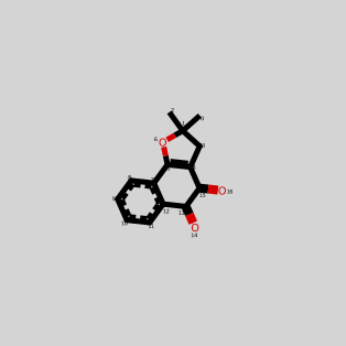 CC1(C)CC2=C(O1)c1ccccc1C(=O)C2=O